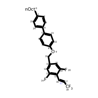 CCCCCCCCc1ccc(-c2ccc(OCc3cc(F)c(/C=C/C(F)(F)F)c(F)c3)cc2)cc1